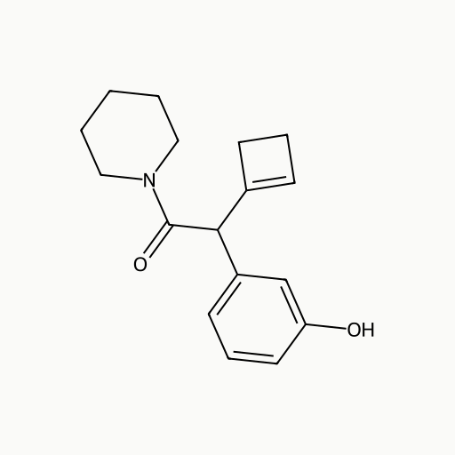 O=C(C(C1=CCC1)c1cccc(O)c1)N1CCCCC1